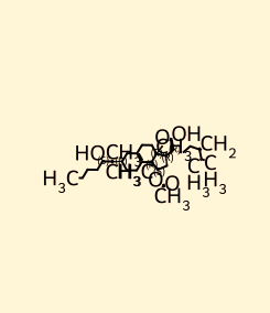 C=C(CC[C@@H](C(=O)O)[C@H]1C[C@H](OC(C)=O)[C@@]2(C)C3=C(CC[C@]12C)C[C@H](C(C)(C)[C@@H](O)CCCC)CC3)C(C)C